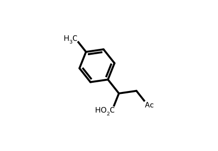 CC(=O)CC(C(=O)O)c1ccc(C)cc1